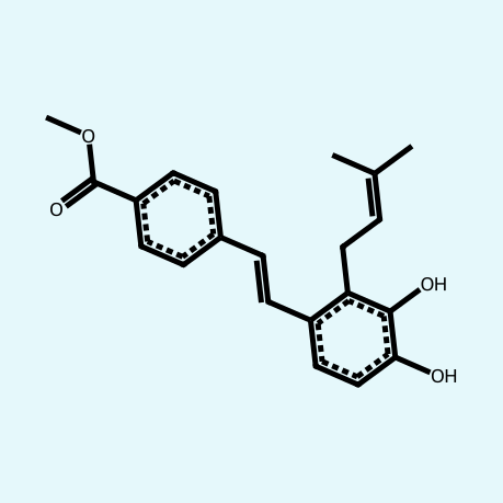 COC(=O)c1ccc(C=Cc2ccc(O)c(O)c2CC=C(C)C)cc1